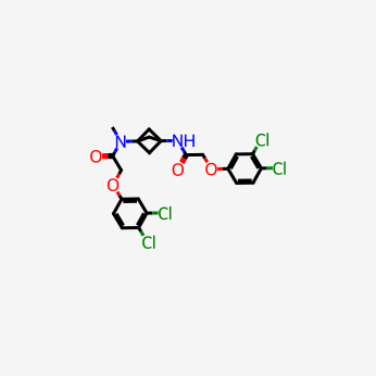 CN(C(=O)COc1ccc(Cl)c(Cl)c1)C12CC(NC(=O)COc3ccc(Cl)c(Cl)c3)(C1)C2